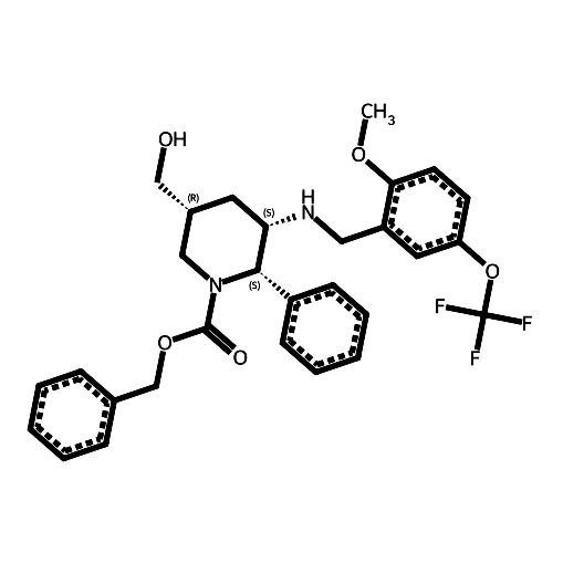 COc1ccc(OC(F)(F)F)cc1CN[C@H]1C[C@@H](CO)CN(C(=O)OCc2ccccc2)[C@H]1c1ccccc1